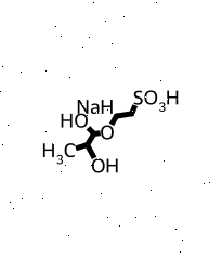 CC(O)C(O)OCCS(=O)(=O)O.[NaH]